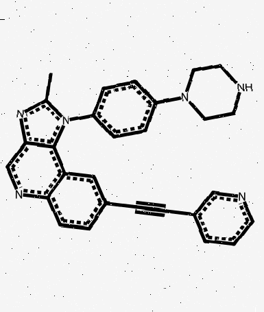 Cc1nc2cnc3ccc(C#Cc4cccnc4)cc3c2n1-c1ccc(N2CCNCC2)cc1